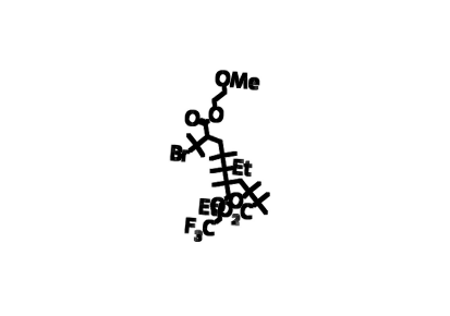 CCOC(=O)C(C)(C)C(C)(C)CC(C)(C(=O)OCC(F)(F)F)C(C)(CC)C(C)(C)CC(C(=O)OCCOC)C(C)(C)Br